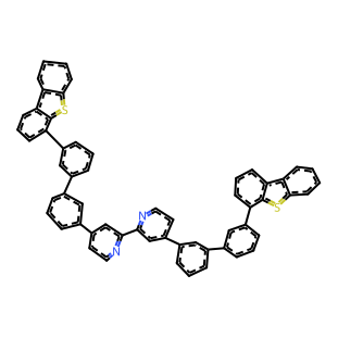 c1cc(-c2cccc(-c3cccc4c3sc3ccccc34)c2)cc(-c2ccnc(-c3cc(-c4cccc(-c5cccc(-c6cccc7c6sc6ccccc67)c5)c4)ccn3)c2)c1